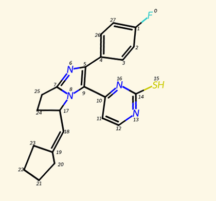 Fc1ccc(-c2nc3n(c2-c2ccnc(S)n2)C(C=C2CCCC2)CC3)cc1